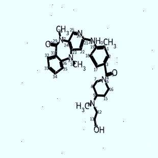 Cc1cc(C(=O)N2CCC(N(C)CCO)CC2)ccc1Nc1cc2c(cn1)N(C)C(=O)c1ccccc1N2C